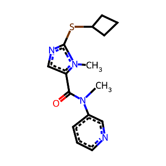 CN(C(=O)c1cnc(SC2CCC2)n1C)c1cccnc1